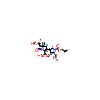 C=CCOC(=O)N1CC(C2=C(C(=O)O)N3C(=O)[C@H]([C@@H](C)O)[C@H]3C2)C[C@H]1COC